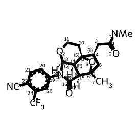 CNC(=O)C[C@H]1C[C@@]2(C)O[C@@]13CCO[C@H]1[C@@H]3[C@@H]2C(=O)N1c1ccc(C#N)c(C(F)(F)F)c1